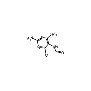 Nc1nc(N)c(NC=O)c(Cl)n1